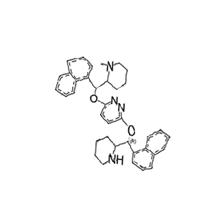 CN1CCCCC1C(Oc1ccc(O[C@H](c2cccc3ccccc23)C2CCCCN2)nn1)c1cccc2ccccc12